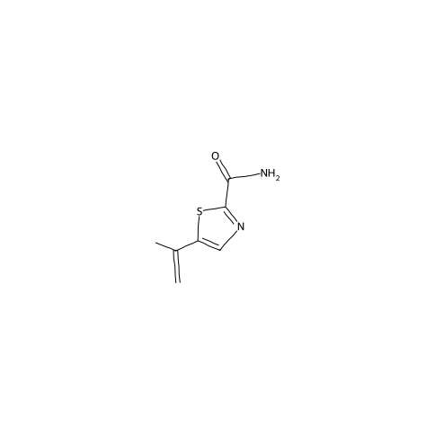 C=C(C)c1cnc(C(N)=O)s1